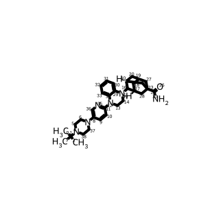 CC(C)(C)N1CCN(c2ccc(N3CCN(C4[C@@H]5CC6C[C@H]4CC(C(N)=O)(C6)C5)c4ccccc43)nc2)CC1